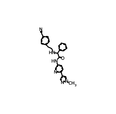 Cn1cc(-c2ccc(NC(=O)C(NCCc3ccc(C#N)cc3)c3ccccc3)cn2)cn1